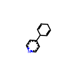 C1=CC(c2ccncc2)C=CC1